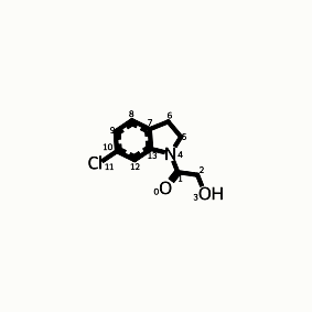 O=C(CO)N1CCc2ccc(Cl)cc21